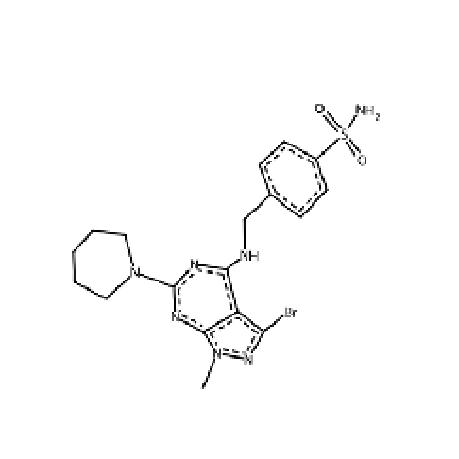 Cn1nc(Br)c2c(NCc3ccc(S(N)(=O)=O)cc3)nc(N3CCCCC3)nc21